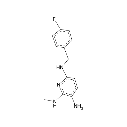 CNc1nc(NCc2ccc(F)cc2)ccc1N